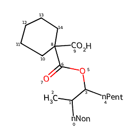 CCCCCCCCCC(C)C(CCCCC)OC(=O)C1(C(=O)O)CCCCC1